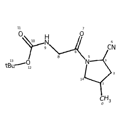 CC1CC(C#N)N(C(=O)CNC(=O)OC(C)(C)C)C1